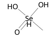 C[SeH](=O)(O)O